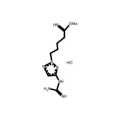 COC(=N)CCCCn1ncc(NC(=N)N)n1.Cl